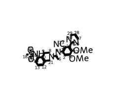 COc1cc(N=C(C)N2CCc3c(cccc3NS(C)(=O)=O)C2)c(C#N)c(-c2ncccn2)c1OC